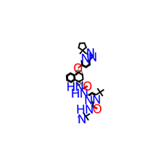 CN(C)C(C)(C)CNC(=O)c1nc(NC(=O)N[C@H]2CC[C@@H](Oc3ccc4nnc(C5(C)CCCC5)n4c3)c3ccccc32)cc(C(C)(C)C)n1